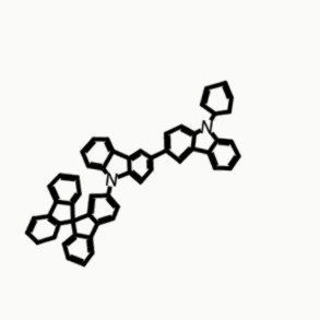 C1=CCC(n2c3ccccc3c3cc(-c4ccc5c(c4)c4ccccc4n5-c4ccc5c(c4)C4(C6=C(C=CCC6)c6ccccc64)c4ccccc4-5)ccc32)C=C1